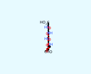 O=CCOc1ccc(-c2cccc(C(=O)NCCCCCC(=O)NCCCCCC(=O)NCCCCCC(=O)NCCCCCC(=O)O)c2)cc1